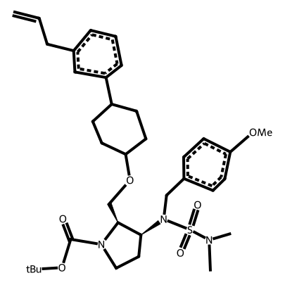 C=CCc1cccc(C2CCC(OC[C@H]3[C@@H](N(Cc4ccc(OC)cc4)S(=O)(=O)N(C)C)CCN3C(=O)OC(C)(C)C)CC2)c1